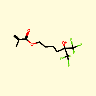 C=C(C)C(=O)OCCCCC(O)(C(F)(F)F)C(F)(F)F